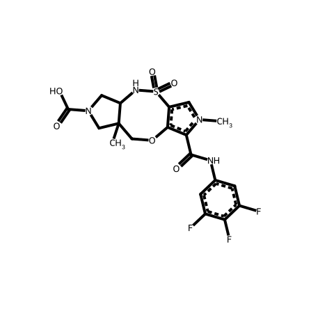 Cn1cc2c(c1C(=O)Nc1cc(F)c(F)c(F)c1)OCC1(C)CN(C(=O)O)CC1NS2(=O)=O